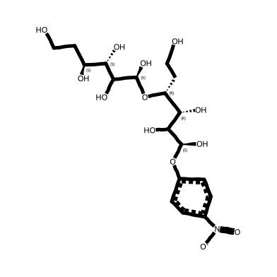 O=[N+]([O-])c1ccc(O[C@H](O)C(O)[C@@H](O)[C@@H](CCO)O[C@H](O)C(O)[C@@H](O)[C@@H](O)CCO)cc1